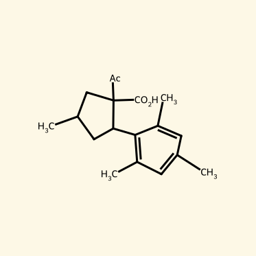 CC(=O)C1(C(=O)O)CC(C)CC1c1c(C)cc(C)cc1C